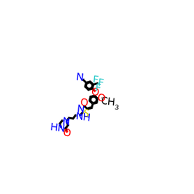 COc1cc(/C=C2/SC(NCCCN3CCNC(=O)C3)=NC2=O)ccc1Oc1ccc(C#N)cc1C(F)(F)F